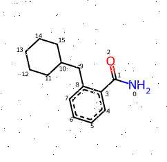 NC(=O)c1ccccc1[CH]C1CCCCC1